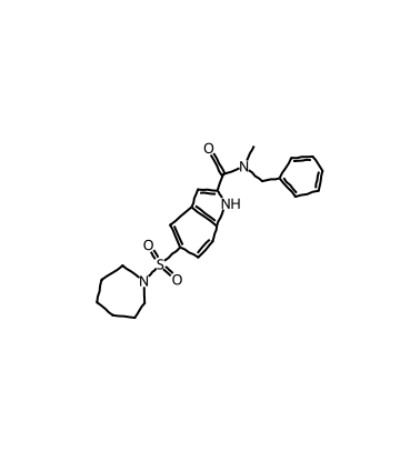 CN(Cc1ccccc1)C(=O)c1cc2cc(S(=O)(=O)N3CCCCCC3)ccc2[nH]1